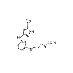 CN(CCCN(C)c1nccc(Nc2cc(C3CC3)[nH]n2)n1)C(=O)O